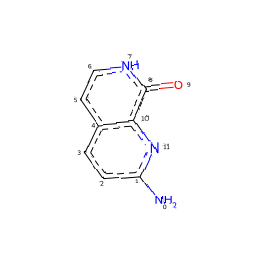 Nc1ccc2cc[nH]c(=O)c2n1